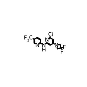 FC1(F)CN(c2cc(Cl)nc(Nc3ccc(C(F)(F)F)cn3)c2)C1